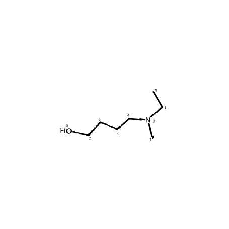 CCN(C)CCCCO